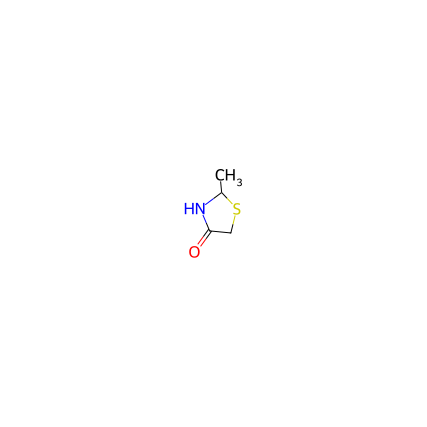 CC1NC(=O)CS1